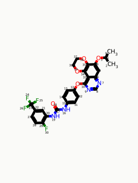 CC(C)Oc1cc2ncnc(Oc3ccc(NC(=O)Nc4cc(C(F)(F)F)ccc4F)cc3)c2c2c1OCCO2